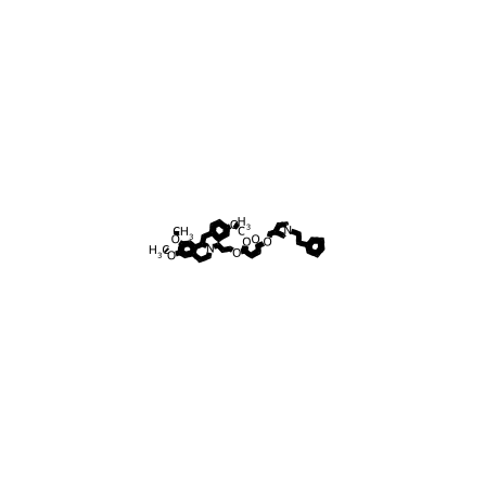 COc1ccc(CC2c3cc(OC)c(OC)cc3CCN2CCCOC(=O)/C=C\C(=O)OCC2CCN(CCc3ccccc3)C2)cc1